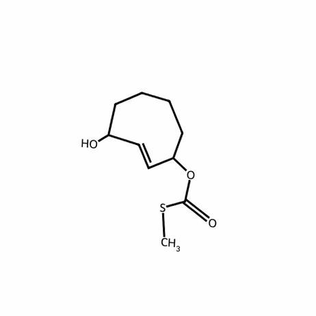 CSC(=O)OC1/C=C/C(O)CCCC1